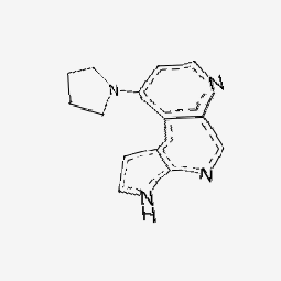 c1cc(N2CCCC2)c2c(cnc3[nH]ccc32)n1